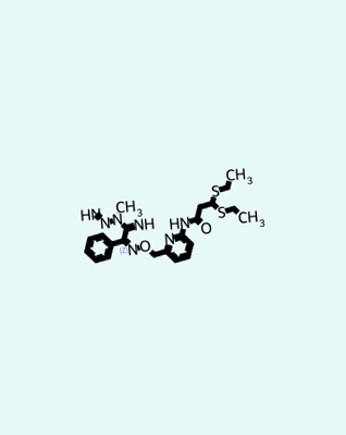 CCSC(CC(=O)Nc1cccc(CO/N=C(\C(=N)N(C)N=N)c2ccccc2)n1)SCC